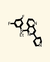 CCN(c1cc(F)cc(F)c1)c1nc(-c2ccncc2)cc2ncccc12